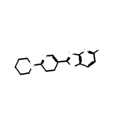 Clc1ccc2sc(C3=CN=C(N4CCCCC4)CC3)nc2n1